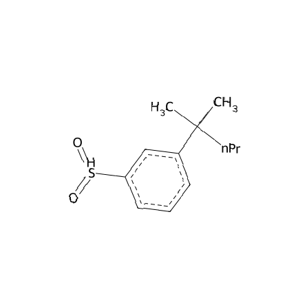 CCCC(C)(C)c1cccc([SH](=O)=O)c1